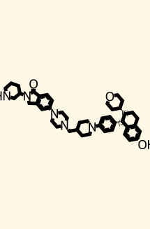 O=C1c2ccc(N3CCN(CC4CCN(c5ccc([C@H]6c7ccc(O)cc7CC[C@H]6C6CCOCC6)cc5)CC4)CC3)cc2CN1C1CCCNC1